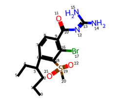 CCCC(CC)c1ccc(C(=O)N=C(N)N)c(Br)c1S(C)(=O)=O